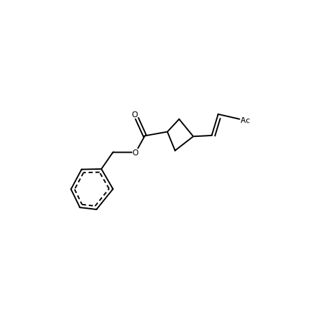 CC(=O)/C=C/C1CC(C(=O)OCc2ccccc2)C1